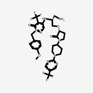 COc1ccc(Cn2ncc(N[C@@H](CN)CO[C@@H]3CCN(C4CCN(c5ncc(C(F)(F)F)cn5)CC4)C3=O)c(C(F)(F)F)c2=O)cc1